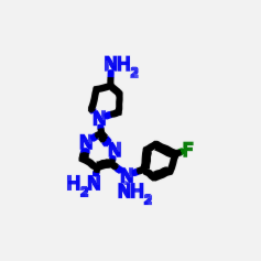 Nc1cnc(N2CCC(N)CC2)nc1N(N)c1ccc(F)cc1